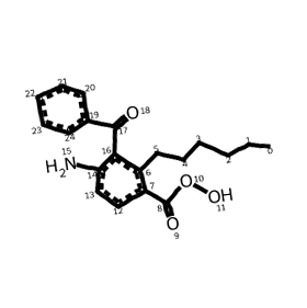 CCCCCCc1c(C(=O)OO)ccc(N)c1C(=O)c1ccccc1